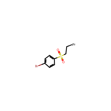 CC(C)CCS(=O)(=O)c1ccc(Br)cc1